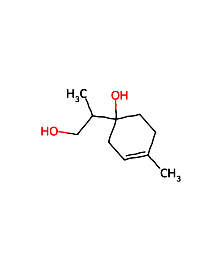 CC1=CCC(O)(C(C)CO)CC1